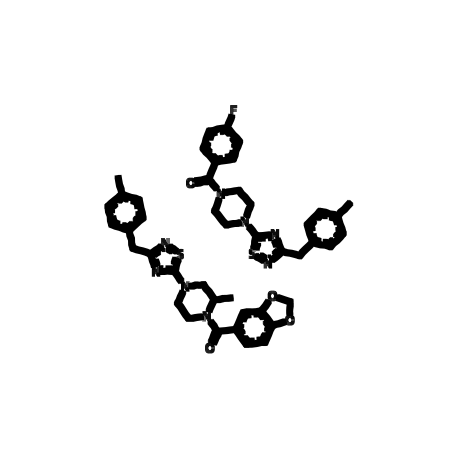 Cc1ccc(Cc2nsc(N3CCN(C(=O)c4ccc(F)cc4)CC3)n2)cc1.Cc1ccc(Cc2nsc(N3CCN(C(=O)c4ccc5c(c4)OCO5)C(C)C3)n2)cc1